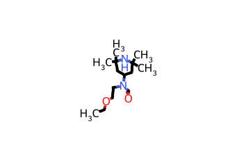 CCOCCN(C=O)C1CC(C)(C)NC(C)(C)C1